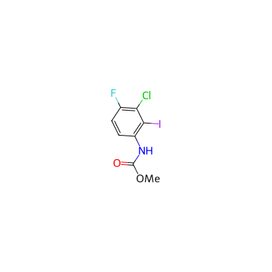 COC(=O)Nc1ccc(F)c(Cl)c1I